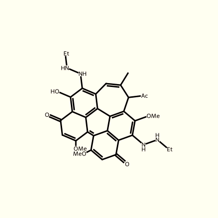 CCNNc1c(O)c2c(=O)cc(OC)c3c4c(OC)cc(=O)c5c(NNCC)c(OC)c6c(c(c1C=C(C)C6C(C)=O)c23)c54